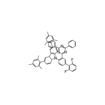 Cc1cc(C)c(C2=CC3c4cc(-c5c(C)cc(C)cc5C)ccc4N(c4ccc(-c5c(F)cccc5F)cc4-c4nc(-c5ccccc5)nc(-c5ccccc5)n4)C3C=C2)c(C)c1